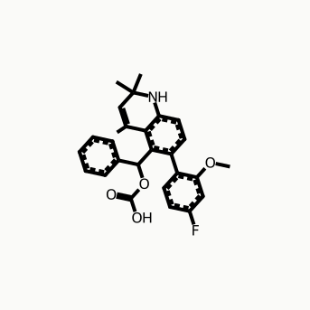 COc1cc(F)ccc1-c1ccc2c(c1C(OC(=O)O)c1ccccc1)C(C)=CC(C)(C)N2